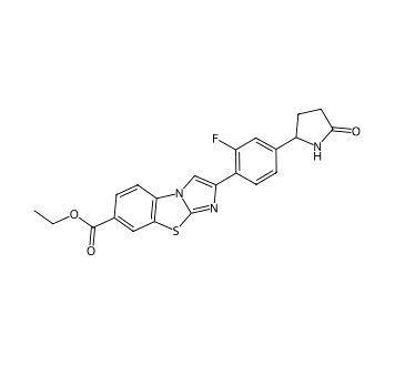 CCOC(=O)c1ccc2c(c1)sc1nc(-c3ccc(C4CCC(=O)N4)cc3F)cn12